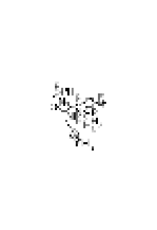 C[C@@H](NC(=O)c1cn([C@H]2CC2(F)P)c(=O)cc1NCC1C2CN(C)CC12)c1cccc(C(F)(F)F)c1P